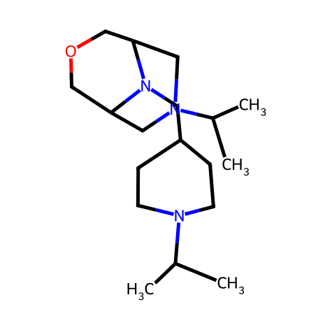 CC(C)N1CCC(CN2C3COCC2CN(C(C)C)C3)CC1